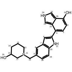 Oc1ccc(-c2cc3cc(CN4CCCC(O)C4)ccc3[nH]2)c2c[nH]cc12